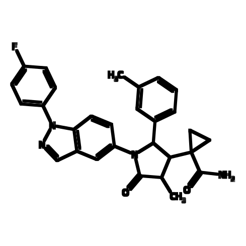 Cc1cccc(C2C(C3(C(N)=O)CC3)C(C)C(=O)N2c2ccc3c(cnn3-c3ccc(F)cc3)c2)c1